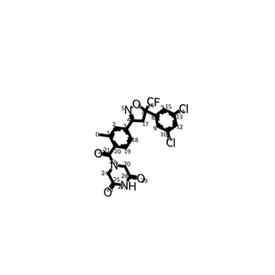 Cc1cc(C2=NOC(c3cc(Cl)cc(Cl)c3)(C(F)(F)F)C2)ccc1C(=O)N1CC(=O)NC(=O)C1